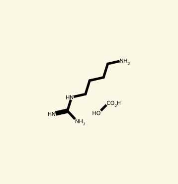 N=C(N)NCCCCN.O=C(O)O